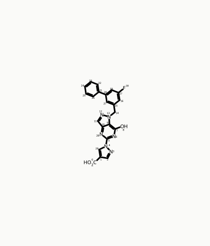 O=C(O)c1cnn(-c2nc(O)c3c(cnn3Cc3cc(F)cc(-c4ccccc4)c3)n2)c1